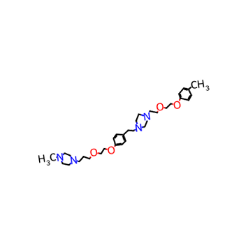 Cc1ccc(OCCOCCN2CCN(CCc3ccc(OCCOCCCN4CCN(C)CC4)cc3)CC2)cc1